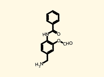 NCc1ccc(NC(=O)c2ccccc2)c(OC=O)c1